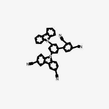 N#Cc1ccc(-c2cc(-n3c4ccccc4c4ccccc43)cc(-n3c4ccc(C#N)cc4c4cc(C#N)ccc43)c2)c(C#N)c1